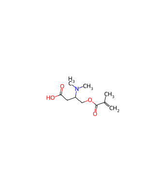 C=C(C)C(=O)OCC(CC(=O)O)N(C)C